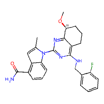 CO[C@H]1CCCc2c(NCc3ccccc3F)nc(-n3c(C)cc4c(C(N)=O)cccc43)nc21